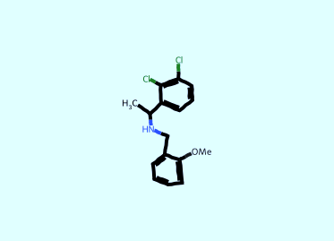 COc1ccccc1CNC(C)c1cccc(Cl)c1Cl